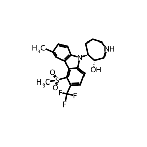 Cc1ccc2c(c1)c1c(S(C)(=O)=O)c(C(F)(F)F)ccc1n2[C@H]1CCCNC[C@@H]1O